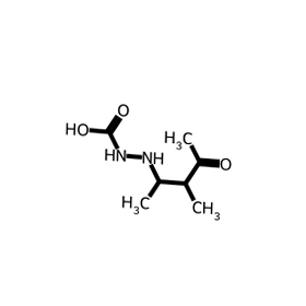 CC(=O)C(C)C(C)NNC(=O)O